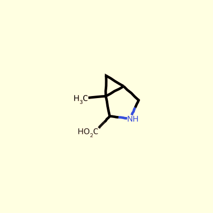 CC12CC1CNC2C(=O)O